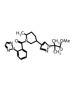 COC(=O)C(C)(C)n1cc(C2CCC(C)N(C(=O)c3ccccc3-n3nccn3)C2)cn1